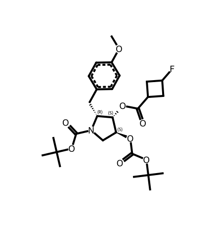 COc1ccc(C[C@@H]2[C@H](OC(=O)C3CC(F)C3)[C@@H](OC(=O)OC(C)(C)C)CN2C(=O)OC(C)(C)C)cc1